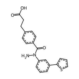 NN(C(=O)c1ccc(CCC(=O)O)cc1)c1cccc(-c2cccs2)c1